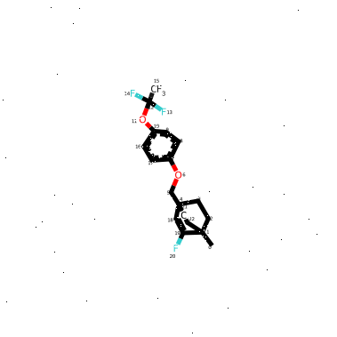 CC12CCC(COc3ccc(OC(F)(F)C(F)(F)F)cc3)(C=C1F)CC2